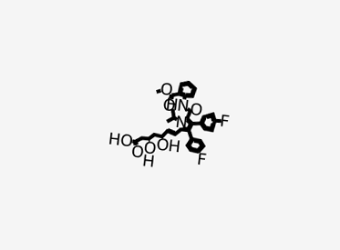 COC(=O)c1ccccc1NC(=O)c1c(-c2ccc(F)cc2)c(-c2ccc(F)cc2)c(/C=C/[C@H](O)C[C@H](O)CC(=O)O)n1C(C)C